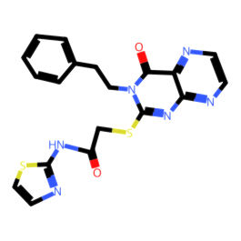 O=C(CSc1nc2nccnc2c(=O)n1CCc1ccccc1)Nc1nccs1